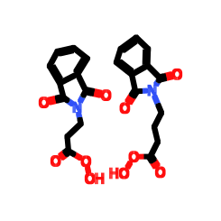 O=C(CCCN1C(=O)c2ccccc2C1=O)OO.O=C(CCN1C(=O)c2ccccc2C1=O)OO